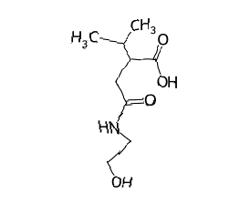 CC(C)C(CC(=O)NCCO)C(=O)O